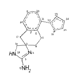 NC1=NC2(CCc3c(cccc3-c3cccs3)C2)CN1